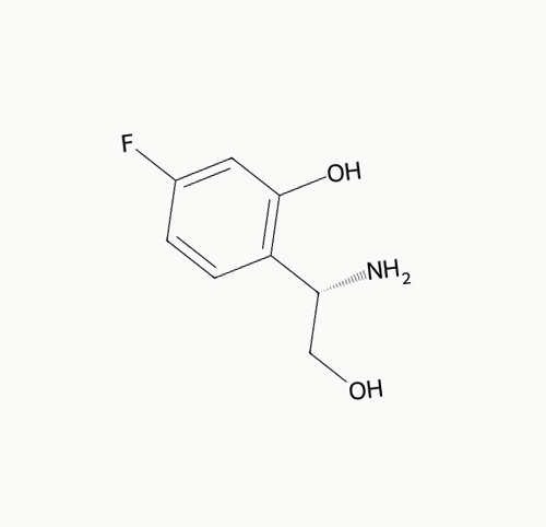 N[C@H](CO)c1ccc(F)cc1O